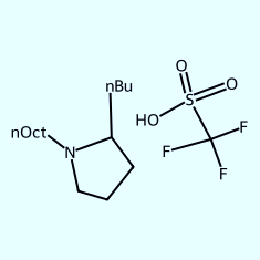 CCCCCCCCN1CCCC1CCCC.O=S(=O)(O)C(F)(F)F